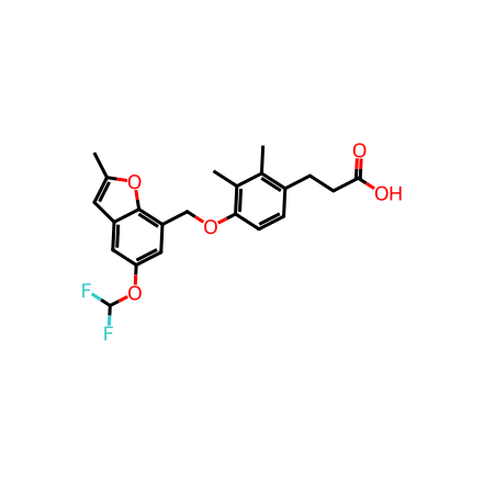 Cc1cc2cc(OC(F)F)cc(COc3ccc(CCC(=O)O)c(C)c3C)c2o1